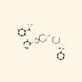 CC(C)N(C(=O)c1cc(F)ccc1Oc1cncnc1N1CC2(CCN(C[C@@H]3CC[C@@H](NS(=N)(=O)c4ccccc4)CO3)CC2)C1)C(C)C